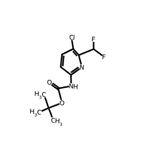 CC(C)(C)OC(=O)Nc1ccc(Cl)c(C(F)F)n1